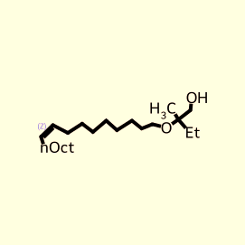 CCCCCCCC/C=C\CCCCCCCCOC(C)(CC)CO